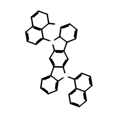 CC1CC=Cc2cccc(N3c4cc5c6ccccc6n(-c6cccc7ccccc67)c5cc4C4C=CC=CC43)c21